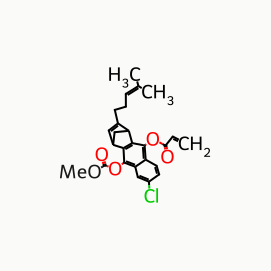 C=CC(=O)Oc1c2c(c(OC(=O)OC)c3cc(Cl)ccc13)C1C=C(CCC=C(C)C)C2C1